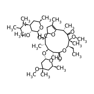 CC[C@H]1OC(=O)[C@H](C)[C@@H](O[C@H]2C[C@@](C)(OC)C[C@H](C)O2)[C@H](C)[C@@H](O[C@@H]2O[C@H](C)C[C@H](N(C)C(C)C)[C@H]2O)[C@]2(C)CC(C)=C(O2)[C@H](C)C(=O)[C@]1(C)OC